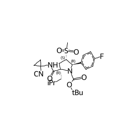 CC(C)C[C@]1(C(=O)NC2(C#N)CC2)C[C@H](S(C)(=O)=O)[C@@H](c2ccc(F)cc2)N1C(=O)OC(C)(C)C